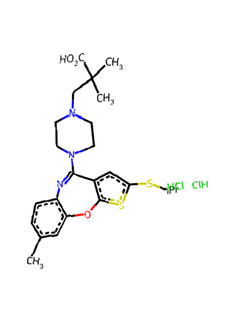 Cc1ccc2c(c1)Oc1sc(SC(C)C)cc1C(N1CCN(CC(C)(C)C(=O)O)CC1)=N2.Cl.Cl